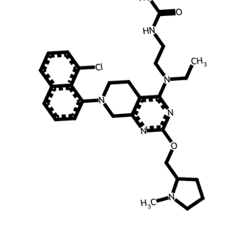 CCN(CCNC(=O)O)c1nc(OCC2CCCN2C)nc2c1CCN(c1cccc3cccc(Cl)c13)C2